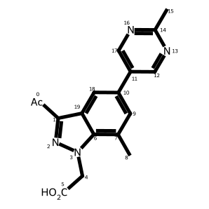 CC(=O)c1nn(CC(=O)O)c2c(C)cc(-c3cnc(C)nc3)cc12